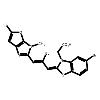 CC/C(C=C1Sc2ccc(Br)cc2N1CC(=O)O)=C\c1nc2cc(Cl)oc2n1C